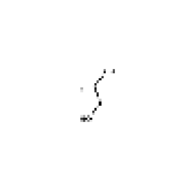 OCCO.[O]